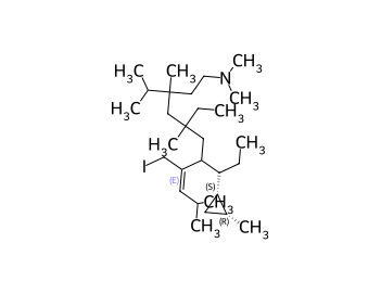 CCC(C(CC(C)(CC)CC(C)(CCN(C)C)C(C)C)/C(=C\C(C)C)CI)[C@H]1C[C@H]1C